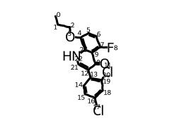 CCCOc1ccc(F)c2c(=O)c(-c3ccc(Cl)cc3Cl)c[nH]c12